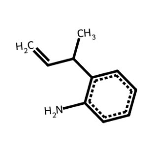 C=CC(C)c1ccccc1N